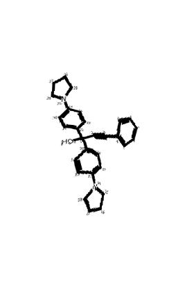 OC(C#Cc1ccccc1)(c1ccc(N2CCCC2)cc1)c1ccc(N2CCCC2)cc1